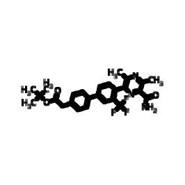 Cc1nc(C)c(-c2ccc(-c3ccc(CC(=O)OC(C)(C)C)cc3)cc2C(F)(F)F)nc1C(N)=O